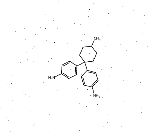 CC1CCC(c2ccc(N)cc2)(c2ccc(N)cc2)CC1